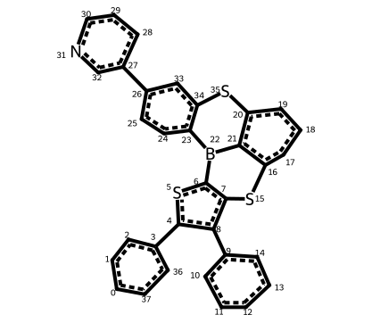 c1ccc(-c2sc3c(c2-c2ccccc2)Sc2cccc4c2B3c2ccc(-c3cccnc3)cc2S4)cc1